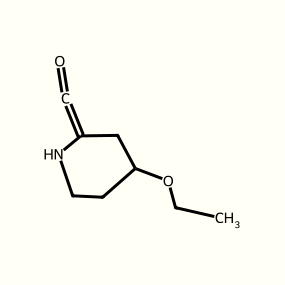 CCOC1CCNC(=C=O)C1